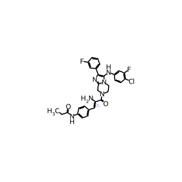 CCC(=O)Nc1ccc(/C=C(\N)C(=O)N2CCn3c(nc(-c4cccc(F)c4)c3Nc3ccc(Cl)c(F)c3)C2)cc1